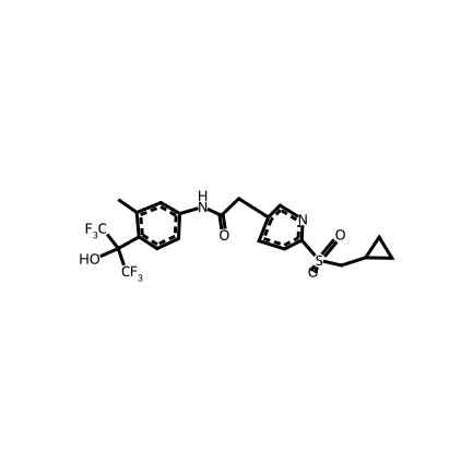 Cc1cc(NC(=O)Cc2ccc(S(=O)(=O)CC3CC3)nc2)ccc1C(O)(C(F)(F)F)C(F)(F)F